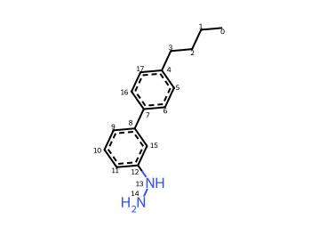 CCCCc1ccc(-c2cccc(NN)c2)cc1